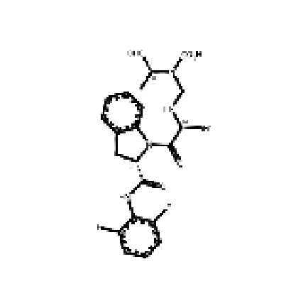 CC(C)[C@H](NCN(C(=O)O)[C@@H](C)C=O)C(=O)N1c2ccccc2C[C@H]1C(=O)Nc1c(F)cccc1F